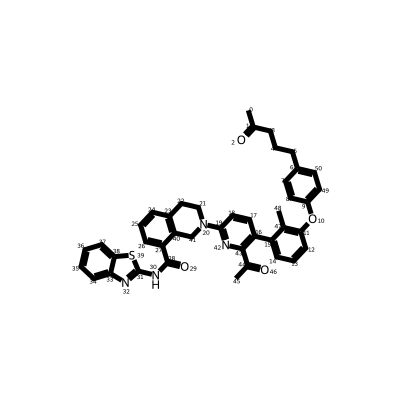 CC(=O)CCCc1ccc(Oc2cccc(-c3ccc(N4CCc5cccc(C(=O)Nc6nc7ccccc7s6)c5C4)nc3C(C)=O)c2C)cc1